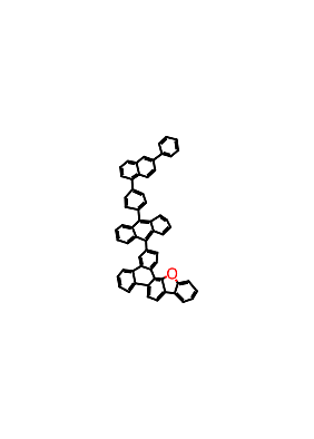 c1ccc(-c2ccc3c(-c4ccc(-c5c6ccccc6c(-c6ccc7c(c6)c6ccccc6c6ccc8c9ccccc9oc8c67)c6ccccc56)cc4)cccc3c2)cc1